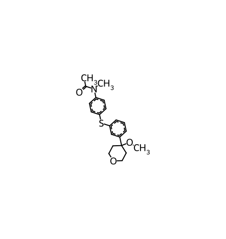 COC1(c2cccc(Sc3ccc(N(C)C(C)=O)cc3)c2)CCOCC1